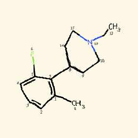 Cc1cccc(F)c1C1CCN(C)CC1